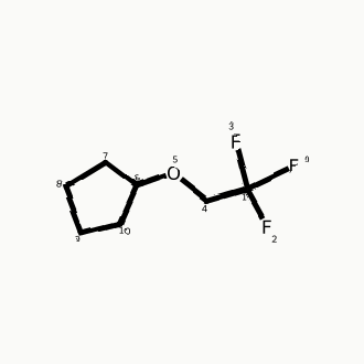 FC(F)(F)CO[C]1CCCC1